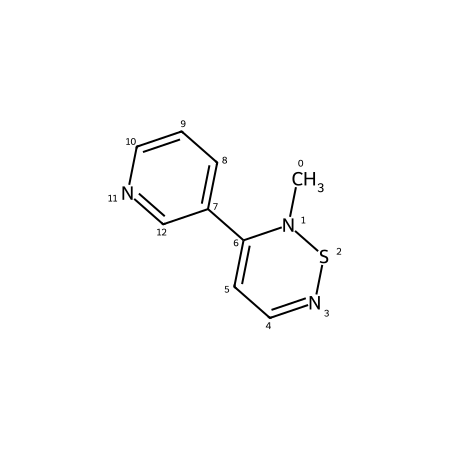 CN1SN=CC=C1c1cccnc1